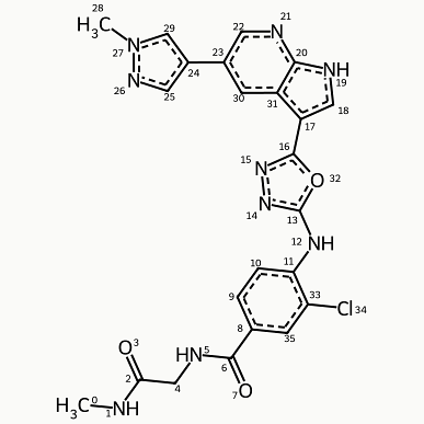 CNC(=O)CNC(=O)c1ccc(Nc2nnc(-c3c[nH]c4ncc(-c5cnn(C)c5)cc34)o2)c(Cl)c1